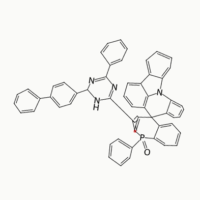 O=P1(c2ccccc2)c2ccccc2C2(c3ccccc3-n3c4ccccc4c4cccc2c43)c2cc(C3=NC(c4ccccc4)=NC(c4ccc(-c5ccccc5)cc4)N3)ccc21